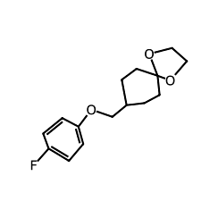 Fc1ccc(OCC2CCC3(CC2)OCCO3)cc1